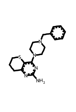 Nc1nc2c(c(N3CCN(Cc4ccccc4)CC3)n1)SCCC2